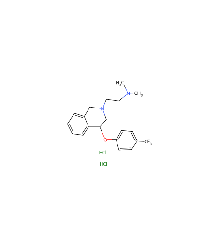 CN(C)CCN1Cc2ccccc2C(Oc2ccc(C(F)(F)F)cc2)C1.Cl.Cl